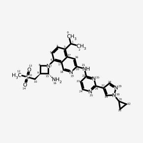 CC(C)c1ccc(N2C[C@H](CS(C)(=O)=O)[C@H]2N)c2cnc(Nc3ccnc(-c4cnn(C5CC5)c4)n3)cc12